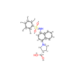 Cc1c(C)c(C)c(S(=O)(=O)Nc2ccc(N3CC[C@H](C(=O)O)C3)c3ccccc23)c(C)c1C